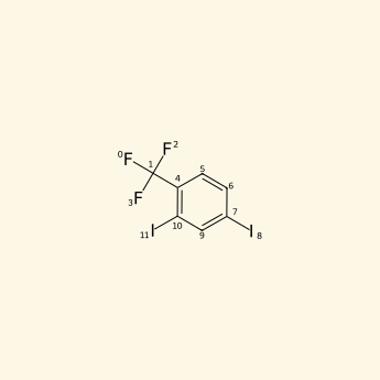 FC(F)(F)c1ccc(I)cc1I